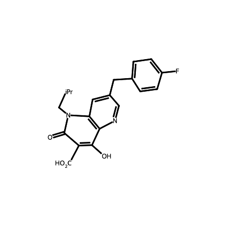 CC(C)Cn1c(=O)c(C(=O)O)c(O)c2ncc(Cc3ccc(F)cc3)cc21